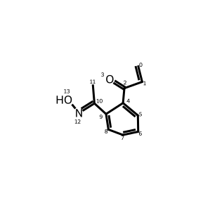 C=CC(=O)c1ccccc1C(C)=NO